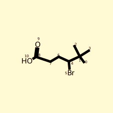 CC(C)(C)C(Br)CCC(=O)O